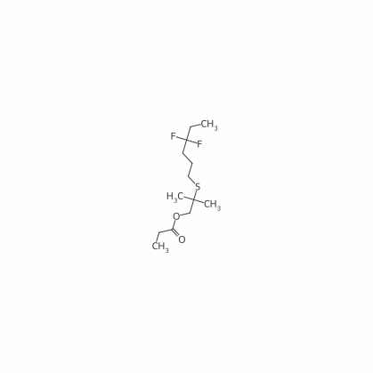 CCC(=O)OCC(C)(C)SCCCC(F)(F)CC